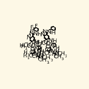 CN[C@@H](C)CN[C@H](C(=O)N1CCC[C@H]1C(=O)Nc1cc2c(NCc3ccccc3)ncnc2cc1OC)C(C)(C)C.CN[C@@H](C)CN[C@H](C(=O)N1CCC[C@H]1C(=O)Nc1cc2c(Nc3ccc(F)c(F)c3F)ncnc2cc1OC)C(C)(C)C.Cl